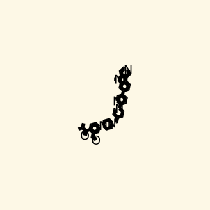 CC(C)C(=O)c1ccc(N2CCN(CC3CCN(c4ccc(-c5ccc6c7cnccc7n(C)c6c5)cn4)CC3)CC2)cc1C=O